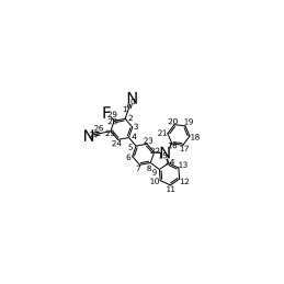 N#Cc1cc(-c2ccc3c4ccccc4n(-c4ccccc4)c3c2)cc(C#N)c1F